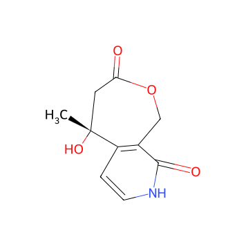 C[C@@]1(O)CC(=O)OCc2c1cc[nH]c2=O